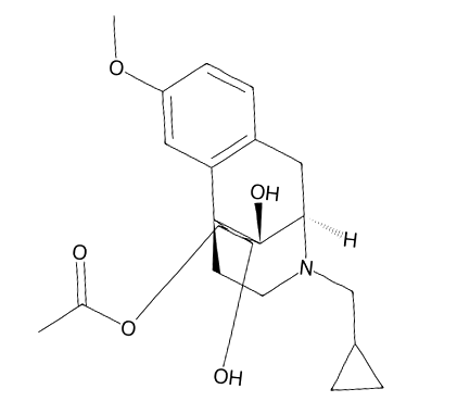 COc1ccc2c(c1)[C@]13CCN(CC4CC4)[C@H](C2)[C@]1(O)CC(O)C(OC(C)=O)C3